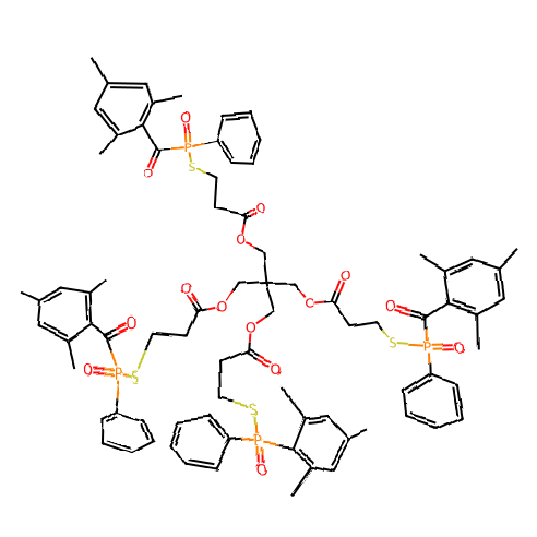 Cc1cc(C)c(C(=O)P(=O)(SCCC(=O)OCC(COC(=O)CCSP(=O)(C(=O)c2c(C)cc(C)cc2C)c2ccccc2)(COC(=O)CCSP(=O)(C(=O)c2c(C)cc(C)cc2C)c2ccccc2)COC(=O)CCSP(=O)(c2ccccc2)c2c(C)cc(C)cc2C)c2ccccc2)c(C)c1